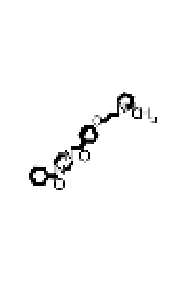 C[C@@H]1CCCN1CCCOc1ccc(C(=O)CN2CCN(C(=O)C3CCCCC3)CC2)cc1